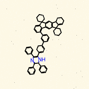 C1=C(C2=C(c3ccccc3)N=C(c3ccccc3)C(c3ccccc3)N2)CCC(c2cccc(-c3cccc4c3-c3cc5c(cc3C43CCCCC3)C3CCCC=C3C53CCCCC3)c2)=C1